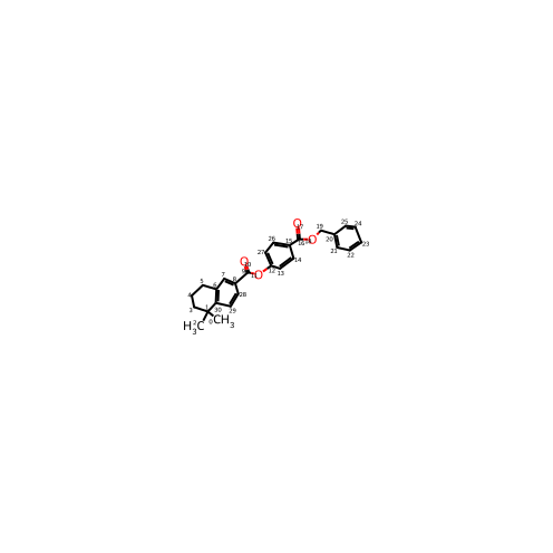 CC1(C)CCCc2cc(C(=O)Oc3ccc(C(=O)OCc4ccccc4)cc3)ccc21